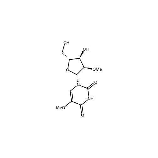 COc1cn([C@@H]2O[C@H](CO)[C@@H](O)[C@H]2OC)c(=O)[nH]c1=O